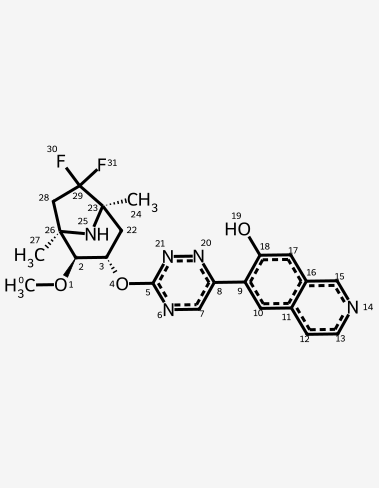 CO[C@@H]1[C@@H](Oc2ncc(-c3cc4ccncc4cc3O)nn2)C[C@@]2(C)N[C@]1(C)CC2(F)F